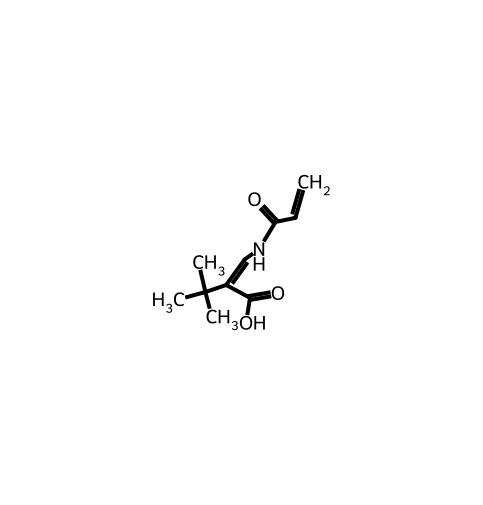 C=CC(=O)NC=C(C(=O)O)C(C)(C)C